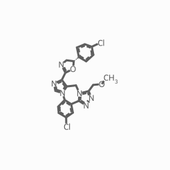 COCc1nnc2n1Cc1c(C3=NC[C@H](c4ccc(Cl)cc4)O3)ncn1-c1ccc(Cl)cc1-2